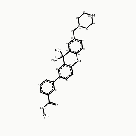 CNC(=O)c1cccc(-c2ccc3c(c2)C(C)(C)c2cc(CN4CCNCC4)ccc2N3)c1